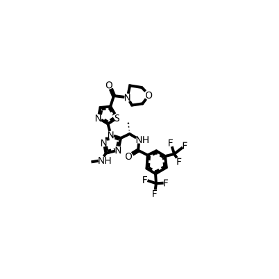 CNc1nc([C@H](C)NC(=O)c2cc(C(F)(F)F)cc(C(F)(F)F)c2)n(-c2ncc(C(=O)N3CCOCC3)s2)n1